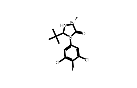 C[C@H]1NC(C(C)(C)C)N(c2cc(Cl)c(F)c(Cl)c2)C1=O